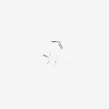 C=CC(=O)O.CCC(CC)(C(=O)O)P(=O)(O)O